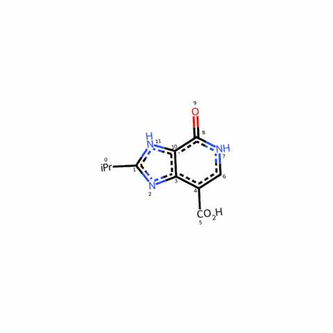 CC(C)c1nc2c(C(=O)O)c[nH]c(=O)c2[nH]1